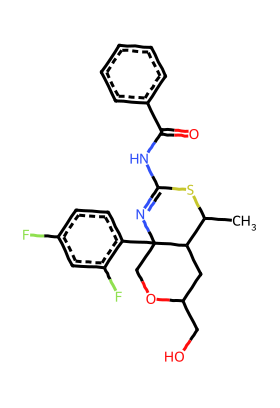 CC1SC(NC(=O)c2ccccc2)=NC2(c3ccc(F)cc3F)COC(CO)CC12